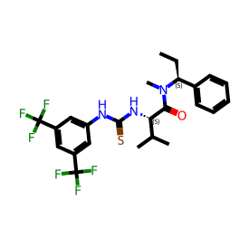 CC[C@@H](c1ccccc1)N(C)C(=O)[C@@H](NC(=S)Nc1cc(C(F)(F)F)cc(C(F)(F)F)c1)C(C)C